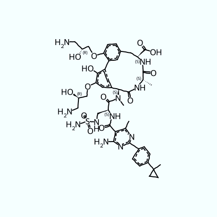 Cc1nc(-c2ccc(C3(C)CC3)cc2)nc(N)c1C(=O)N[C@@H](CNS(N)(=O)=O)C(=O)N(C)[C@@H]1C(=O)N[C@@H](C)C(=O)N[C@H](C(=O)O)Cc2ccc(OC[C@H](O)CN)c(c2)-c2cc1cc(OC[C@H](O)CN)c2O